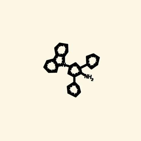 Nc1c(-c2ccccc2)cc(-n2c3ccccc3c3ccccc32)cc1-c1ccccc1